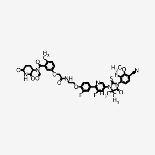 COc1c(C#N)ccc(N2C(=O)C(C)(C)N(c3cnc(-c4ccc(OCCNC(=O)COc5ccc(C)c(C(=O)N(C=O)C6CCC(=O)NC6=O)c5)c(F)c4)c(F)c3)C2=S)c1F